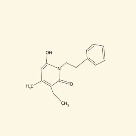 CCc1c(C)cc(O)n(CCc2ccccc2)c1=O